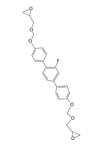 Fc1cc(-c2ccc(OCOCC3CO3)cc2)ccc1-c1ccc(OCOCC2CO2)cc1